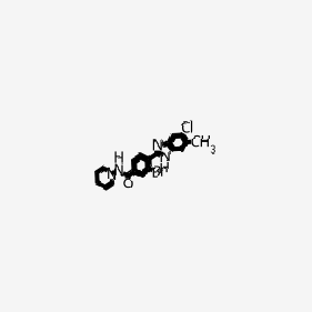 Cc1cc2[nH]c(-c3ccc(C(=O)NN4CCCCC4)cc3Br)nc2cc1Cl